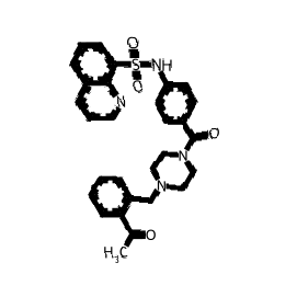 CC(=O)c1ccccc1CN1CCN(C(=O)c2ccc(NS(=O)(=O)c3cccc4cccnc34)cc2)CC1